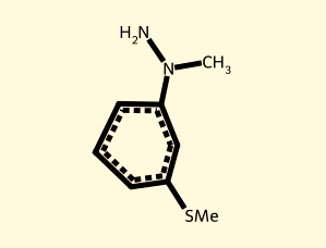 CSc1cccc(N(C)N)c1